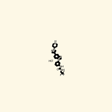 Cl.O=C(NCC(F)(F)F)Nc1cccc(-n2cnc3cc(-c4cnn(C5CCNCC5)c4)ccc32)c1